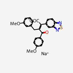 COc1ccc(C(=O)C(Cc2cccc(OC)c2)=C(C(=O)[O-])c2ccc3nsnc3c2)cc1.[Na+]